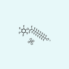 FC(Oc1c(F)c(F)c(F)c(F)c1F)=C(F)C(F)(F)C(F)(F)C(F)(F)C(F)(F)C(F)(F)C(F)(F)C(F)(F)C(F)(F)F.O=S(=O)(Cl)Cl